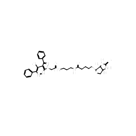 O=C(CCCC[C@@H]1SC[C@@H]2NC(=O)N[C@@H]21)NCCCNC(=O)Cn1nc(-c2ccccc2)c2c(Cl)c(-c3ccccc3)nnc21